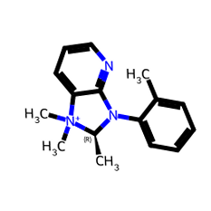 Cc1ccccc1N1c2ncccc2[N+](C)(C)[C@@H]1C